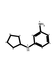 Nc1cccc(NC2CCCC2)c1